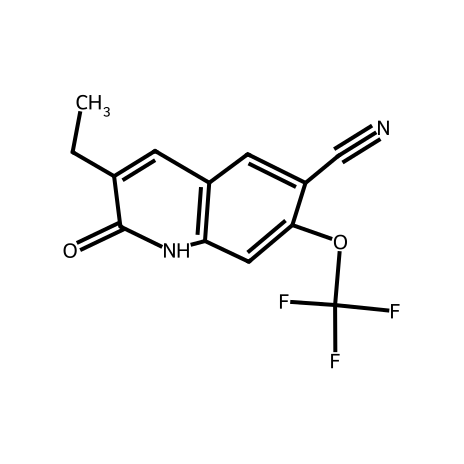 CCc1cc2cc(C#N)c(OC(F)(F)F)cc2[nH]c1=O